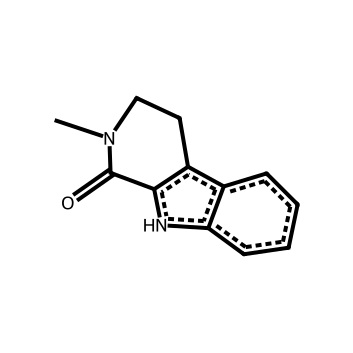 CN1CCc2c([nH]c3ccccc23)C1=O